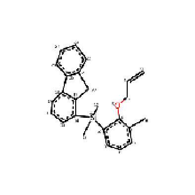 C=CCOc1c(C)cccc1[Si](C)(C)c1cccc2c1Cc1ccccc1-2